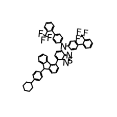 FC(F)(F)c1ccccc1-c1ccc(N(c2ccc(-c3ccccc3C(F)(F)F)cc2)c2ccc(-c3cccc4c3-c3ccccc3C4c3ccc(C4CCCCC4)cc3)c3nsnc23)cc1